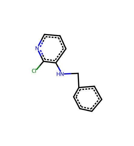 Clc1ncccc1NCc1ccccc1